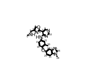 CNCc1coc(-c2cncnc2Nc2ccc(Oc3ccc4c(c3)ncn4C)c(C)c2)n1